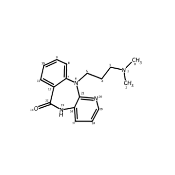 CN(C)CCCN1c2ccccc2C(=O)Nc2cccnc21